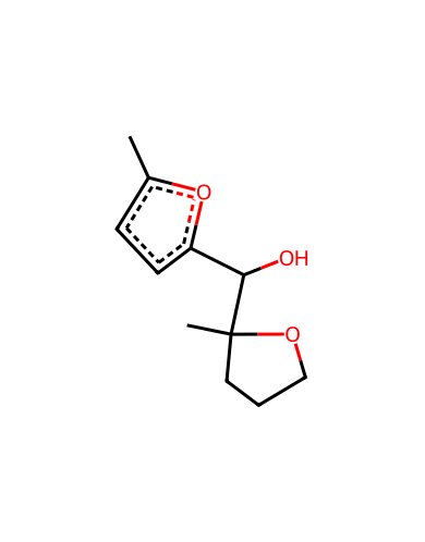 Cc1ccc(C(O)C2(C)CCCO2)o1